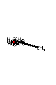 CCCCCCCCCCCCOC(=O)CCc1ccc([PH](O)(O)O)c(C(C)(C)C)c1